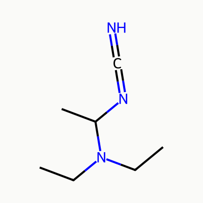 CCN(CC)C(C)N=C=N